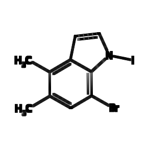 Cc1cc(Br)c2c(ccn2I)c1C